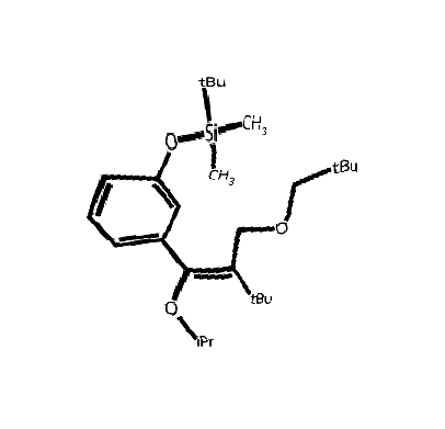 CC(C)O/C(=C(/COCC(C)(C)C)C(C)(C)C)c1cccc(O[Si](C)(C)C(C)(C)C)c1